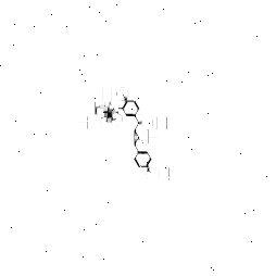 Cc1ccc(CNCC(O)c2ccc(O)c(NS(C)(=O)=O)c2)cc1